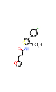 O=C(CCc1ccco1)Nc1scc(-c2ccc(Cl)cc2)c1C(=O)O